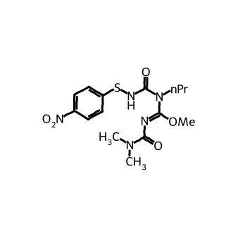 CCCN(C(=O)NSc1ccc([N+](=O)[O-])cc1)C(=NC(=O)N(C)C)OC